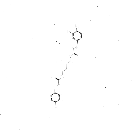 CCc1ccc(OCC(=O)NCC[C@H](O)CNC(=O)COc2ccc(F)c(F)c2)cc1